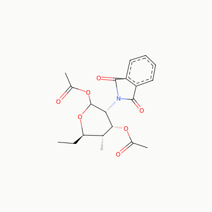 CC[C@H]1OC(OC(C)=O)[C@H](N2C(=O)c3ccccc3C2=O)[C@H](OC(C)=O)[C@@H]1C